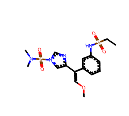 CCS(=O)(=O)Nc1cccc(/C(=C\OC)c2cn(S(=O)(=O)N(C)C)cn2)c1